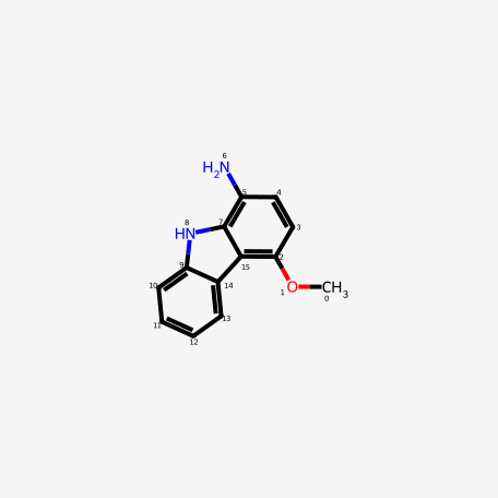 COc1ccc(N)c2[nH]c3ccccc3c12